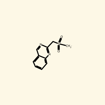 [CH2]S(=O)(=O)Cc1ncc2ccccc2n1